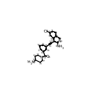 Nc1ncc2ccc(Cl)cc2c1C#Cc1cccc(C(=O)N2CCC(N)CC2)c1